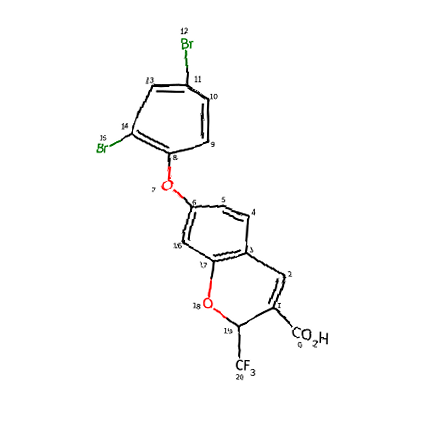 O=C(O)C1=Cc2ccc(Oc3ccc(Br)cc3Br)cc2OC1C(F)(F)F